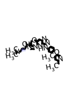 CCc1ccc(Oc2ccc(Nc3ncnc4cc5c(nc34)N3CCN(C(=O)/C=C/CN(C)C)[C@H](CO5)C3)cc2C)cn1